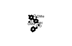 COCOc1cc(C)cc(OCOC)c1-c1ccc(NC(=O)OCc2ccccc2)cc1